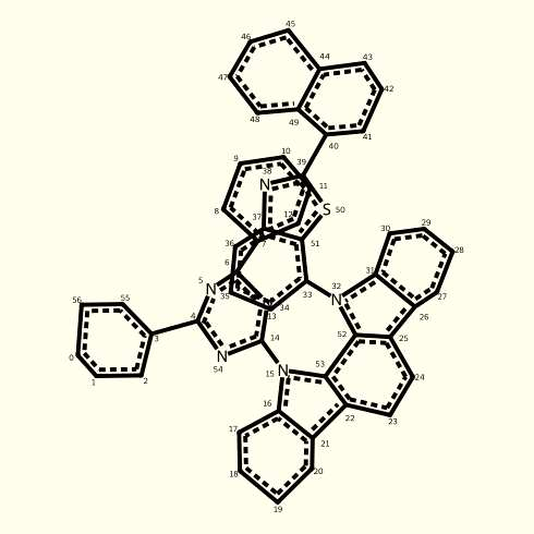 c1ccc(-c2nc(-c3ccccc3)nc(-n3c4ccccc4c4ccc5c6ccccc6n(-c6cccc7nc(-c8cccc9ccccc89)sc67)c5c43)n2)cc1